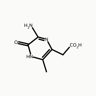 Cc1[nH]c(=O)c(N)nc1CC(=O)O